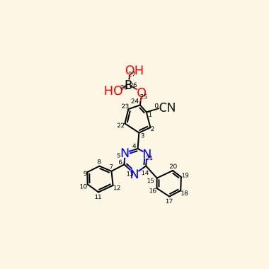 N#Cc1cc(-c2nc(-c3ccccc3)nc(-c3ccccc3)n2)ccc1OB(O)O